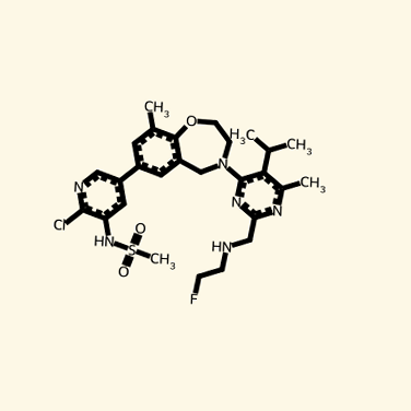 Cc1cc(-c2cnc(Cl)c(NS(C)(=O)=O)c2)cc2c1OCCN(c1nc(CNCCF)nc(C)c1C(C)C)C2